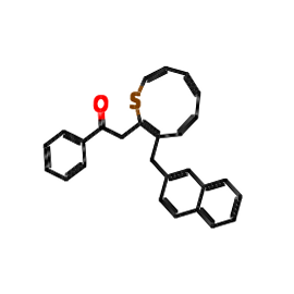 O=C(Cc1sccccccc1Cc1ccc2ccccc2c1)c1ccccc1